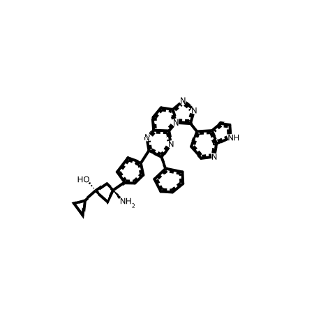 N[C@]1(c2ccc(-c3nc4ccc5nnc(-c6ccnc7[nH]ccc67)n5c4nc3-c3ccccc3)cc2)C[C@](O)(C2CC2)C1